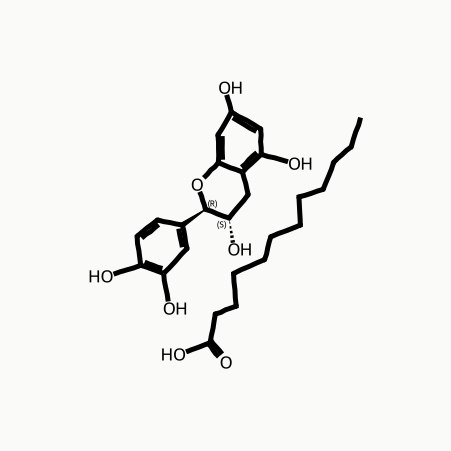 CCCCCCCCCCCC(=O)O.Oc1cc(O)c2c(c1)O[C@H](c1ccc(O)c(O)c1)[C@@H](O)C2